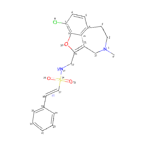 CN1CCc2ccc(Cl)c3oc(CNS(=O)(=O)/C=C/c4ccccc4)c(c23)C1